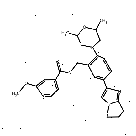 COc1cccc(C(=O)NCc2cc(-c3cn4c(n3)CCC4)ccc2N2CC(C)OC(C)C2)c1